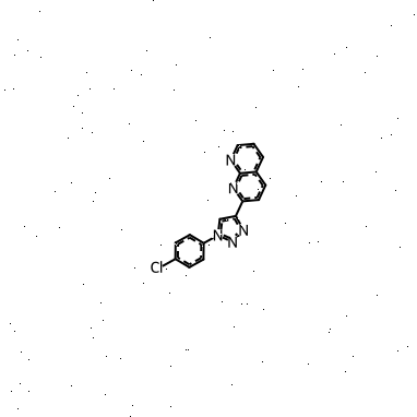 Clc1ccc(-n2cc(-c3ccc4cccnc4n3)nn2)cc1